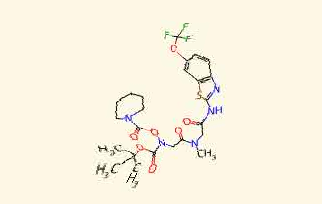 CN(CC(=O)Nc1nc2ccc(OC(F)(F)F)cc2s1)C(=O)CN(OC(=O)N1CCCCC1)C(=O)OC(C)(C)C